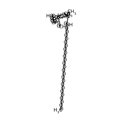 CCCCN1C(=CC=CC=CC2=[N+](CCCCCC(=O)NCCOCCOCCOCCOCCOCCOCCOCCOCCOCCOCCOCCOCCOCCOCCOCCOCCOCCOCCOCCOCCOCCOCCOCCOC)c3ccc(C)cc3C2(C)C)C(C)(CCCCCC(C)=O)c2c1ccc1c(S(=O)(=O)O)cc(S(=O)(=O)O)cc21